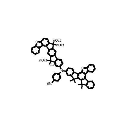 CCCCCCCCC1(CCCCCCCC)c2cc(N(c3ccc(C(C)(C)C)cc3)c3ccc4c(c3)C(C)(C)c3c5c(c6c(oc7ccccc76)c3-4)-c3ccccc3C5(C)C)ccc2-c2cc3c(cc21)-c1c(ccc2oc4ccccc4c12)C3(CCCCCCCC)CCCCCCCC